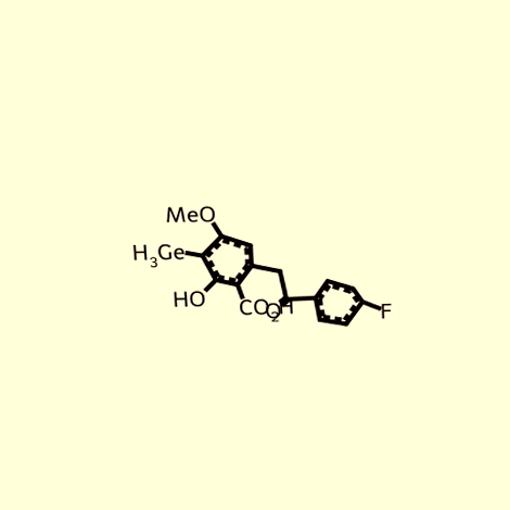 COc1cc(CC(=O)c2ccc(F)cc2)c(C(=O)O)c(O)[c]1[GeH3]